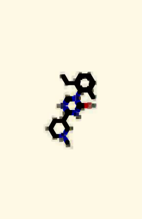 CCc1cccc(C)c1-n1cnc(C2CCCN(C)C2)nc1=O